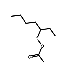 CCCCC(CC)OOC(C)=O